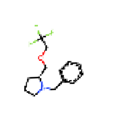 FC(F)(F)COC[C@@H]1CCCN1Cc1ccccc1